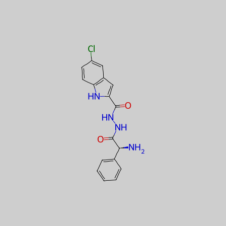 N[C@H](C(=O)NNC(=O)c1cc2cc(Cl)ccc2[nH]1)c1ccccc1